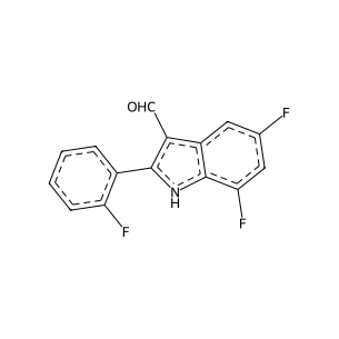 O=Cc1c(-c2ccccc2F)[nH]c2c(F)cc(F)cc12